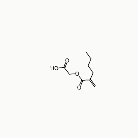 C=C(CCCC)C(=O)OCC(=O)O